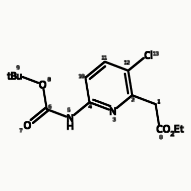 CCOC(=O)Cc1nc(NC(=O)OC(C)(C)C)ccc1Cl